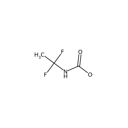 CC(F)(F)NC([O])=O